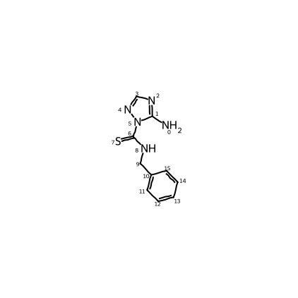 Nc1ncnn1C(=S)NCc1ccccc1